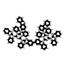 C1=CC2N=C3N(c4nc(-n5c6ccccc6n6c7ccc(-c8ccc9c(c8)c8ccccc8n9-c8nc(-n9c%10ccccc%10n%10c%11ccccc%11nc9%10)nc([Si](c9ccccc9)(c9ccccc9)c9cccc%10c9sc9ccccc9%10)n8)cc7nc56)nc([Si](c5ccccc5)(c5ccccc5)c5ccc6sc7ccccc7c6c5)n4)c4ccccc4N3C2C=C1